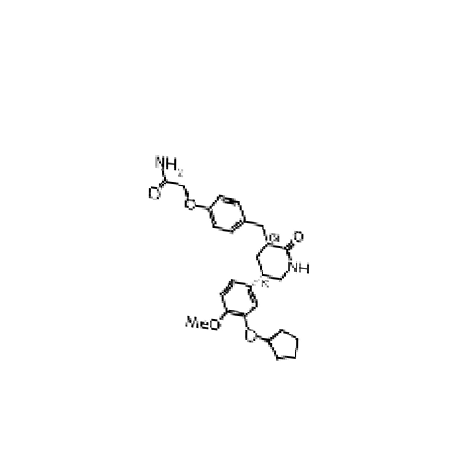 COc1ccc([C@H]2CNC(=O)[C@H](Cc3ccc(OCC(N)=O)cc3)C2)cc1OC1CCCC1